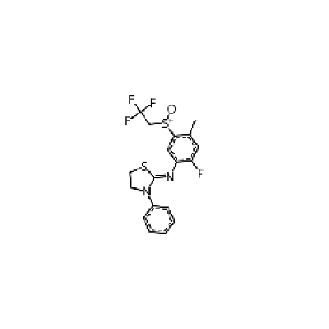 Cc1cc(F)c(/N=C2\SCCN2c2ccccc2)cc1[S+]([O-])CC(F)(F)F